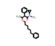 CC(OCCCCCCc1ccccc1)C(C(=O)N(C)C1CC1)c1ccccc1